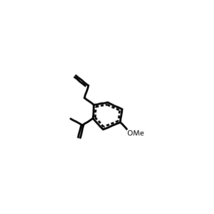 C=CCc1ccc(OC)cc1C(=C)C